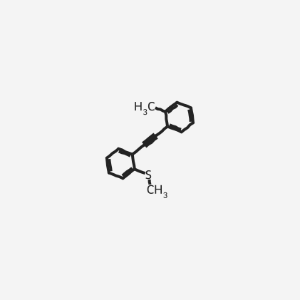 CSc1ccccc1C#Cc1ccccc1C